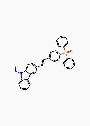 CCn1c2ccccc2c2cc(/C=C/c3ccc(P(=O)(c4ccccc4)c4ccccc4)cc3)ccc21